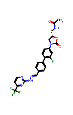 CC(=O)NC[C@H]1CN(c2ccc(-c3ccc(C=NNc4nccc(C(F)(F)F)n4)cc3)c(F)c2)C(=O)O1